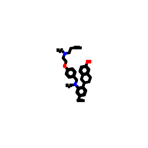 COCCN(C)CCOc1ccc(CN(C)c2cc(OC)ccc2C2CCc3cc(O)ccc3C2)cc1